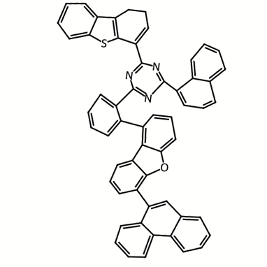 C1=C(c2nc(-c3ccccc3-c3cccc4oc5c(-c6cc7ccccc7c7ccccc67)cccc5c34)nc(-c3cccc4ccccc34)n2)c2sc3ccccc3c2CC1